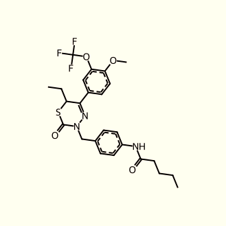 CCCCC(=O)Nc1ccc(CN2N=C(c3ccc(OC)c(OC(F)(F)F)c3)C(CC)SC2=O)cc1